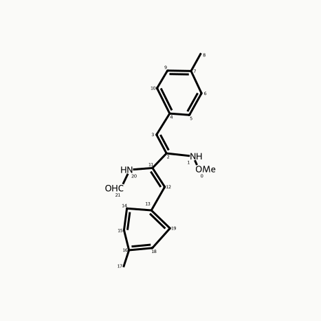 CONC(=C\c1ccc(C)cc1)/C(=C/c1ccc(C)cc1)NC=O